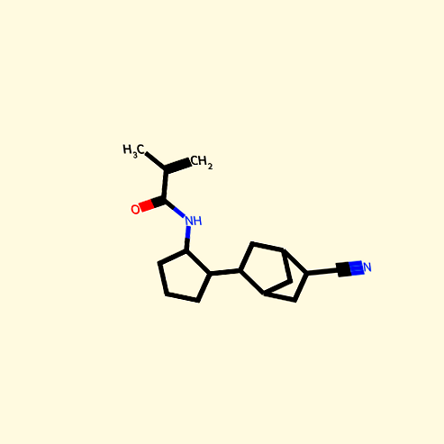 C=C(C)C(=O)NC1CCCC1C1CC2CC1CC2C#N